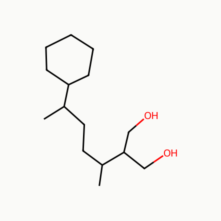 CC(CCC(C)C1CCCCC1)C(CO)CO